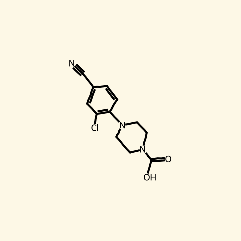 N#Cc1ccc(N2CCN(C(=O)O)CC2)c(Cl)c1